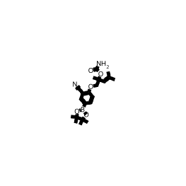 CC(C)=CC(C)(COc1ccc(B2OC(C)(C)C(C)(C)O2)cc1C#N)OC(N)=O